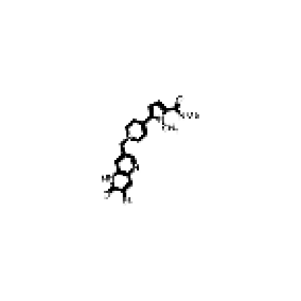 CCc1cc2ncc(CN3CC=C(c4ccc(C(=O)NC)n4C)CC3)cc2[nH]c1=O